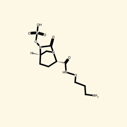 NCCCONC(=O)[C@@H]1CC[C@@H]2CN1C(=O)N2OS(=O)(=O)O